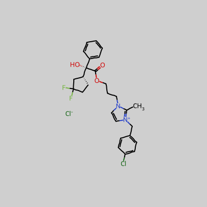 Cc1n(CCCOC(=O)[C@](O)(c2ccccc2)[C@@H]2CCC(F)(F)C2)cc[n+]1Cc1ccc(Cl)cc1.[Cl-]